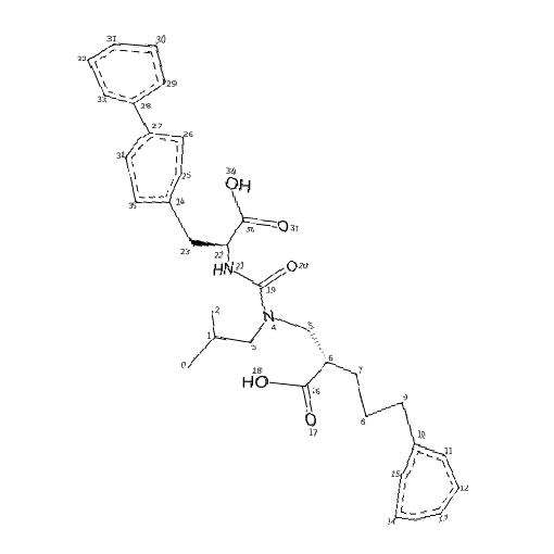 CC(C)CN(C[C@H](CCCc1ccccc1)C(=O)O)C(=O)N[C@@H](Cc1ccc(-c2ccccc2)cc1)C(=O)O